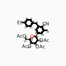 CCc1ccc(Cc2cc([C@@H]3O[C@H](COC(C)=O)[C@@H](OC(C)=O)[C@H](OC(C)=O)[C@H]3OC(C)=O)cc(C)c2C#N)cc1